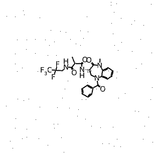 CC(C(=O)NCC(F)(F)C(F)(F)F)C(=O)N[C@H]1CN(C(=O)c2ccccc2)c2ccccc2N(C)C1=O